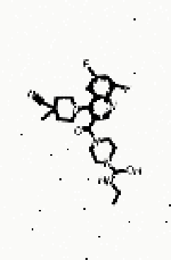 CCNC(O)N1CCN(C(=O)c2cnc3c(F)cc(F)cc3c2N2CCC(C)(C#N)CC2)CC1